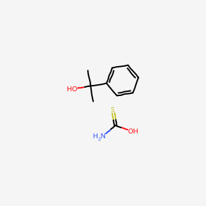 CC(C)(O)c1ccccc1.NC(O)=S